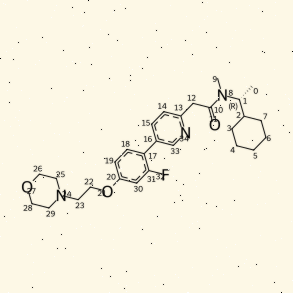 C[C@H](C1CCCCC1)N(C)C(=O)Cc1ccc(-c2ccc(OCCN3CCOCC3)cc2F)cn1